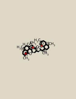 C[C@H]1[C@@H](CC(C[C@H]2O[C@@H]3O[C@]4(C)CC[C@H]5[C@H](C)CCC([C@H]2C)[C@@]35OO4)C(=O)NC[Si](C)(C)C)O[C@@H]2O[C@]3(C)CC[C@H]4[C@H](C)CC[C@@H]1[C@@]24OO3